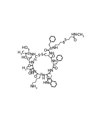 CNC(=O)CCSSCCCN[C@H](Cc1ccccc1)C(=O)NC1CSSC[C@@H](C(=O)N[C@H](CO)[C@@H](C)O)NC(=O)[C@H]([C@@H](C)O)NC(=O)[C@H](CCCCN)NC(=O)[C@@H](Cc2c[nH]c3ccccc23)NC(=O)[C@H](Cc2ccccc2)NC1=O